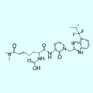 CC(C)C(F)(F)c1cccc2[nH]c(Cn3cccc(NC(=O)C(CC/C=C/C(=O)N(C)C)NC(=O)O)c3=O)nc12